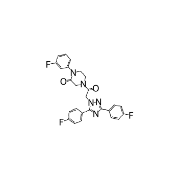 O=C(Cn1nc(-c2ccc(F)cc2)nc1-c1ccc(F)cc1)N1CCN(c2cccc(F)c2)C(=O)C1